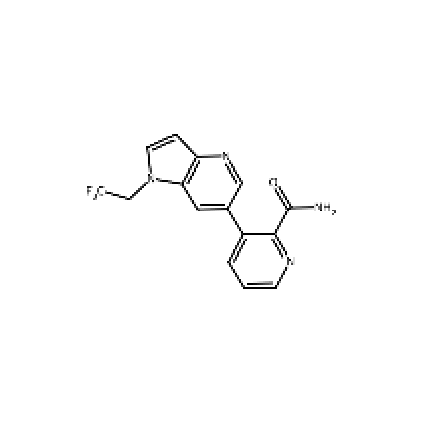 NC(=O)c1ncccc1-c1cnc2ccn(CC(F)(F)F)c2c1